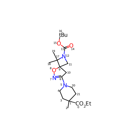 CCOC(=O)C1(C)CCN(C2=NOC3(C2)CN(C(=O)OC(C)(C)C)C3(C)C)CC1